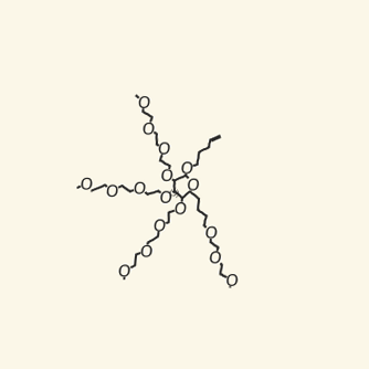 C=CCCCOC1OC(CCCCOCCOCCOC)C(OCCOCCOCCOC)[C@H](OCCOCCOCCOC)C1OCCOCCOCCOC